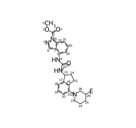 COC(=O)n1ncc2c(NC(=O)NC3CCc4c3cccc4N3CCCC(F)C3)cccc21